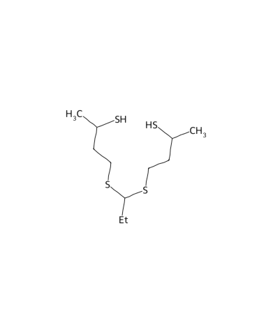 CCC(SCCC(C)S)SCCC(C)S